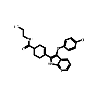 O=C(NCCO)C1CC=C(c2[nH]c3ncccc3c2Sc2ccc(Cl)cc2)CC1